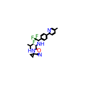 Cc1ccc(-c2ccc([C@H](N[C@@H](CC(C)C)C(=O)NC3(C#N)CC3)C(F)(F)F)cc2)nc1